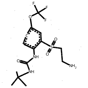 CC(C)(C)NC(=O)Nc1ccc(OC(F)(F)F)cc1S(=O)(=O)CCN